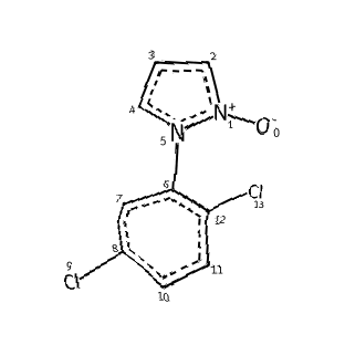 [O-][n+]1cccn1-c1cc(Cl)ccc1Cl